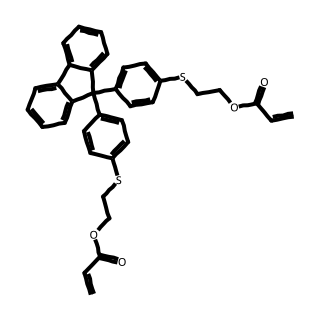 C=CC(=O)OCCSc1ccc(C2(c3ccc(SCCOC(=O)C=C)cc3)c3ccccc3-c3ccccc32)cc1